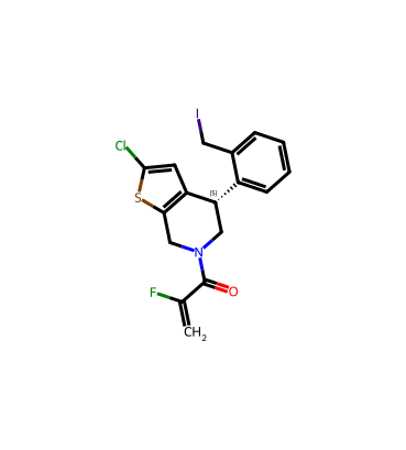 C=C(F)C(=O)N1Cc2sc(Cl)cc2[C@H](c2ccccc2CI)C1